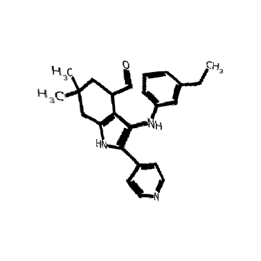 CCc1cccc(Nc2c(-c3ccncc3)[nH]c3c2C(C=O)CC(C)(C)C3)c1